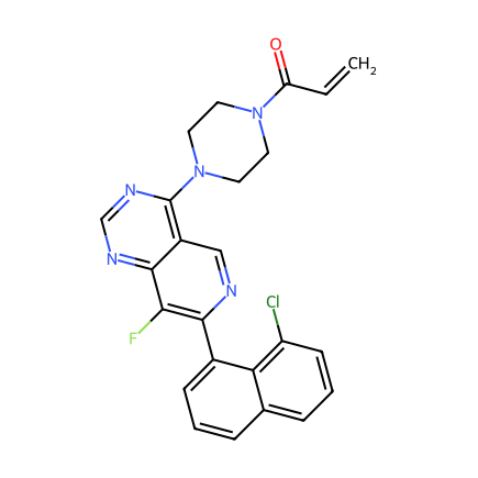 C=CC(=O)N1CCN(c2ncnc3c(F)c(-c4cccc5cccc(Cl)c45)ncc23)CC1